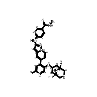 CCNC(=O)c1ccc(Nc2cc3cc(-c4cc(C)ncc4OC4C[C@H]5COC[C@@H](C4)N5)ccn3n2)nc1